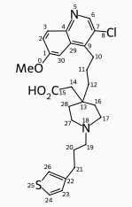 COc1ccc2ncc(Cl)c(CCCC3(CC(=O)O)CCN(CCCc4ccsc4)CC3)c2c1